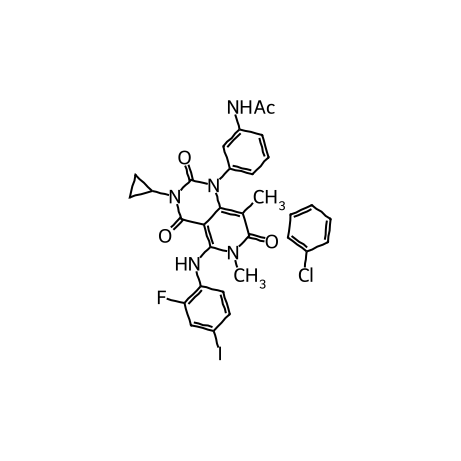 CC(=O)Nc1cccc(-n2c(=O)n(C3CC3)c(=O)c3c(Nc4ccc(I)cc4F)n(C)c(=O)c(C)c32)c1.Clc1ccccc1